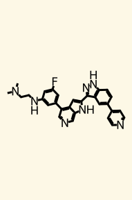 CN(C)CCNc1cc(F)cc(-c2cncc3[nH]c(-c4n[nH]c5ccc(-c6ccncc6)cc45)cc23)c1